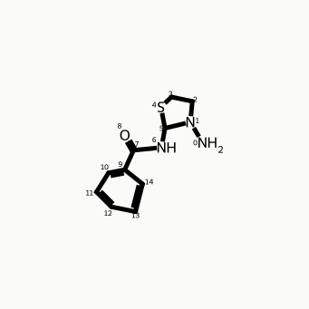 NN1CCSC1NC(=O)c1ccccc1